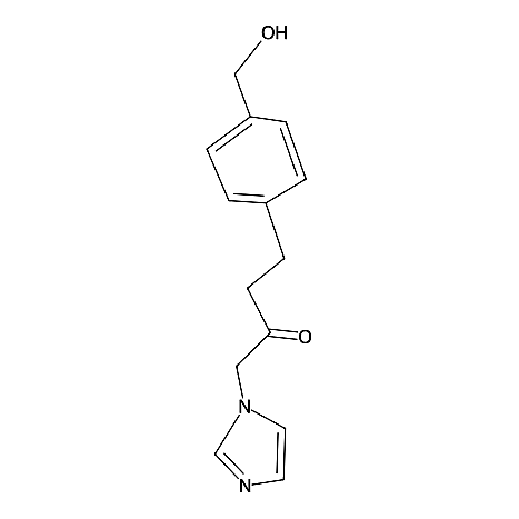 O=C(CCc1ccc(CO)cc1)Cn1ccnc1